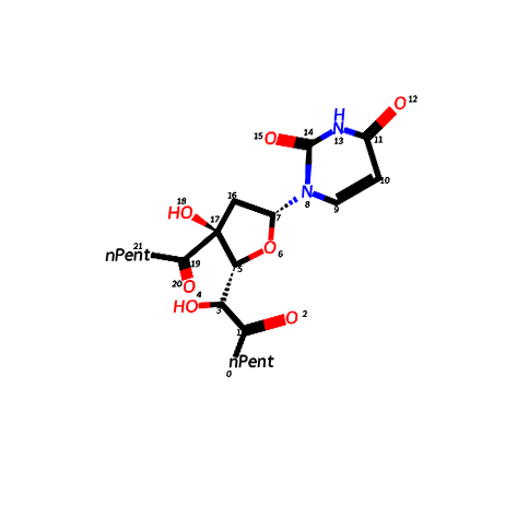 CCCCCC(=O)C(O)[C@H]1O[C@@H](n2ccc(=O)[nH]c2=O)C[C@@]1(O)C(=O)CCCCC